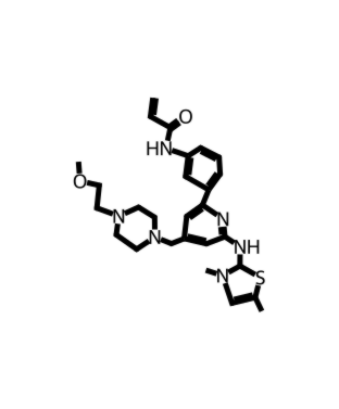 C=CC(=O)Nc1cccc(-c2cc(CN3CCN(CCOC)CC3)cc(NC3SC(C)=CN3C)n2)c1